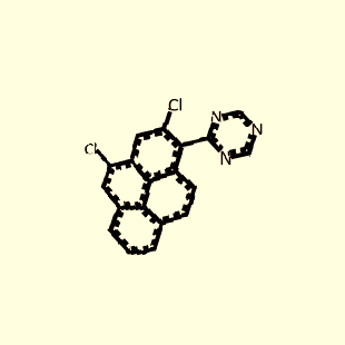 Clc1cc2c(Cl)cc3cccc4ccc(c1-c1ncncn1)c2c43